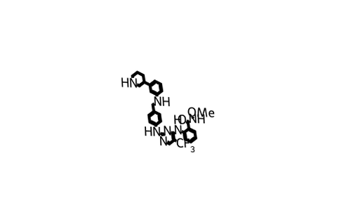 CONC(=O)c1ccccc1Nc1nc(Nc2ccc(CNc3cccc(C4CCCNC4)c3)cc2)ncc1C(F)(F)F